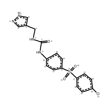 O=C(NCc1cn[nH]c1)Nc1ccc(S(=O)(=O)c2ccc(Cl)cc2)cc1